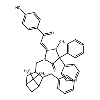 CN1C(=CC(=O)c2ccc(C#N)cc2)N(CC2CC3CC(C2Cc2ccccc2)C3(C)C)C(=O)C1(c1ccncc1)c1ccncc1